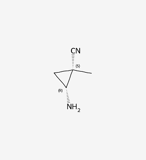 C[C@]1(C#N)C[C@H]1N